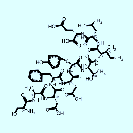 CC[C@H](C)[C@H](NC(=O)[C@@H](NC(=O)[C@H](Cc1ccc(O)cc1)NC(=O)[C@H](CC(=O)O)NC(=O)[C@H](Cc1ccccc1)NC(=O)[C@H](CC(=O)O)NC(=O)[C@H](C)NC(=O)[C@@H](N)CO)[C@@H](C)O)C(=O)N[C@@H](CC(C)C)C(=O)N[C@@H](CCC(=O)O)C(=O)O